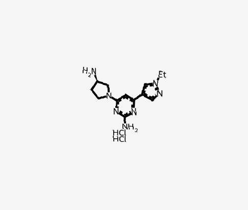 CCn1cc(-c2cc(N3CC[C@@H](N)C3)nc(N)n2)cn1.Cl.Cl